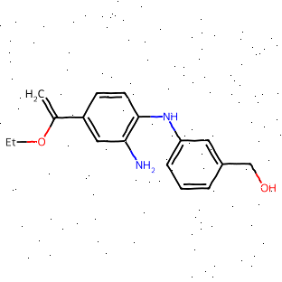 C=C(OCC)c1ccc(Nc2cccc(CO)c2)c(N)c1